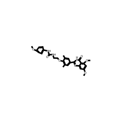 COc1ccc(NC(=O)NCCOc2c(C)cc(-c3nc4cc(OC)cc(OC)c4c(=O)[nH]3)cc2C)cc1